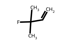 C=CC(C)(C)F